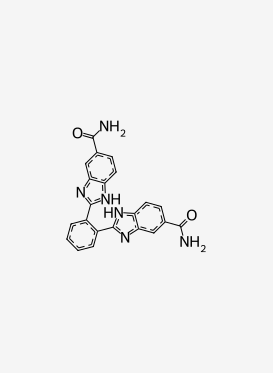 NC(=O)c1ccc2[nH]c(-c3ccccc3-c3nc4cc(C(N)=O)ccc4[nH]3)nc2c1